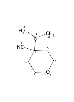 CN(C)C1(C#N)CCOCC1